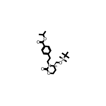 CC(C)OC(=O)c1ccc(CCN2C(=O)OCC[C@@H]2CO[Si](C)(C)C(C)(C)C)cc1